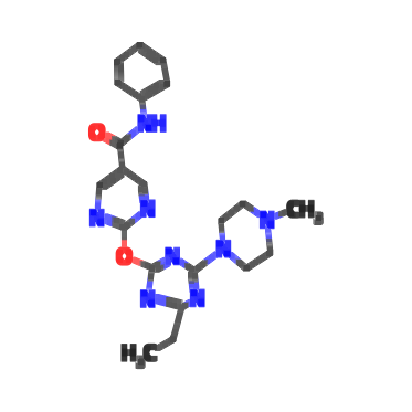 CCc1nc(Oc2ncc(C(=O)Nc3ccccc3)cn2)nc(N2CCN(C)CC2)n1